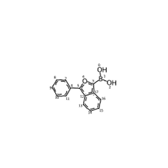 OB(O)c1oc(-c2ccccc2)c2ccccc12